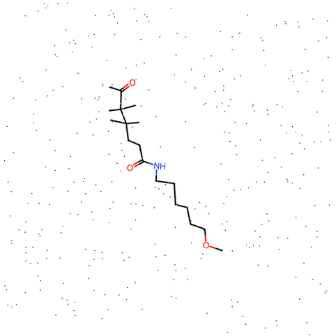 COCCCCCCNC(=O)CCC(C)(C)C(C)(C)C(C)=O